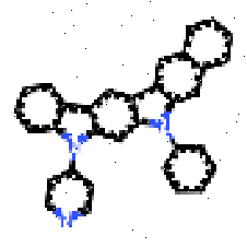 c1ccc(-n2c3cc4ccccc4cc3c3cc4c5ccccc5n(-c5ccncc5)c4cc32)cc1